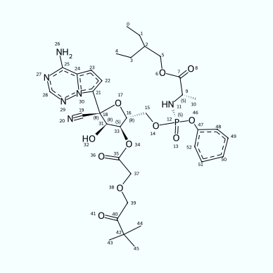 CCC(CC)COC(=O)[C@H](C)N[P@](=O)(OC[C@H]1O[C@@](C#N)(c2ccc3c(N)ncnn23)[C@H](O)[C@@H]1OC(=O)COCC(=O)C(C)(C)C)Oc1ccccc1